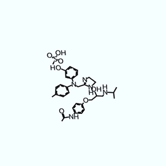 CC(=O)Nc1ccc(OCC(O)CNC(C)C)cc1.CS(=O)(=O)O.Cc1ccc(N(CC2=NCCN2)c2cccc(O)c2)cc1